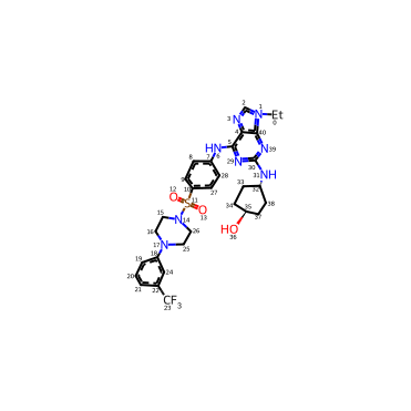 CCn1cnc2c(Nc3ccc(S(=O)(=O)N4CCN(c5cccc(C(F)(F)F)c5)CC4)cc3)nc(N[C@H]3CC[C@H](O)CC3)nc21